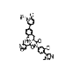 Cc1nocc1C(=O)NC(Cc1cc(-c2ccc(=O)n(C(C)C)c2)ccc1Cl)C(=O)Nc1ccc(-c2cncn2C)c(Cl)c1